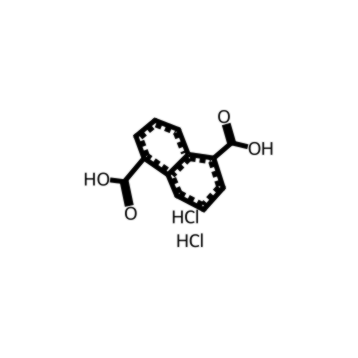 Cl.Cl.O=C(O)c1cccc2c(C(=O)O)cccc12